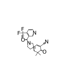 CC1(C)C[C@@]2(C=C(C#N)C1=O)CCN(C(=O)c1cnccc1C(F)(F)F)C2